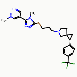 CN/C=C(\C=N)c1nnc(SCCCN2CC[C@]3(C[C@H]3c3ccc(C(F)(F)F)cc3)C2)n1C